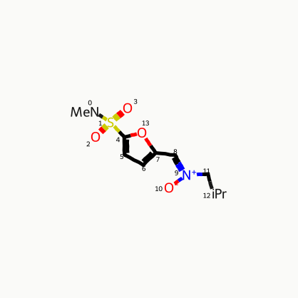 CNS(=O)(=O)c1ccc(C=[N+]([O-])CC(C)C)o1